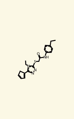 CCc1ccc(NC(=O)CSc2nnc(C3=CC=CC3)n2CC)cc1